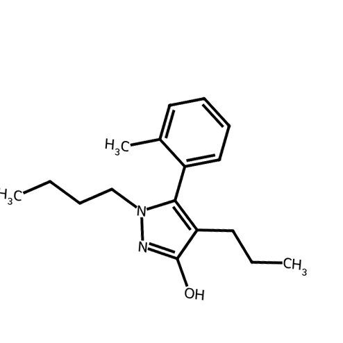 CCCCn1nc(O)c(CCC)c1-c1ccccc1C